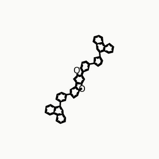 c1cc(-c2ccc3oc4cc5c(cc4c3c2)oc2ccc(-c3cccc(-c4cc6ccccc6c6ccccc46)c3)cc25)cc(-c2cc3ccccc3c3ccccc23)c1